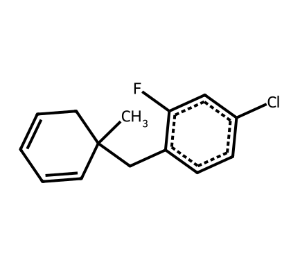 CC1(Cc2ccc(Cl)cc2F)C=CC=CC1